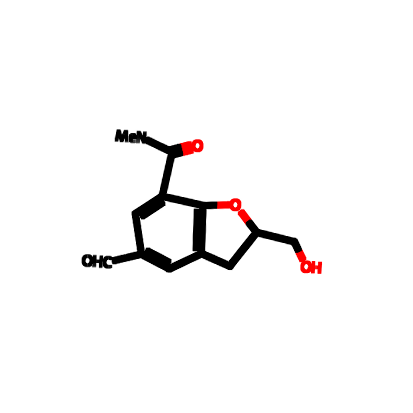 CNC(=O)c1cc(C=O)cc2c1OC(CO)C2